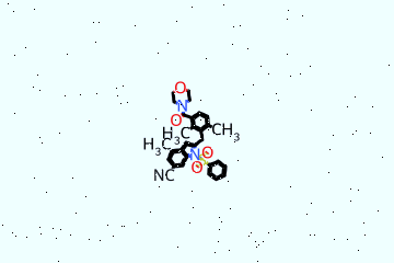 Cc1ccc(C(=O)N2CCOCC2)c(C)c1Cc1cc2c(C)cc(C#N)cc2n1S(=O)(=O)c1ccccc1